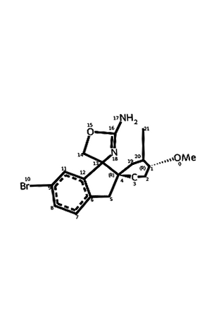 CO[C@@H]1CC[C@]2(Cc3ccc(Br)cc3C23COC(N)=N3)CC1C